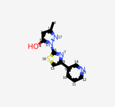 Cc1cc(O)n(-c2nc(-c3cccnc3)cs2)n1